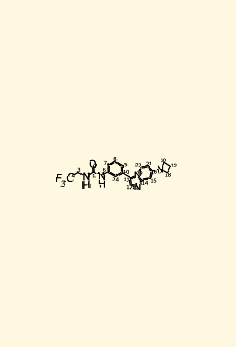 O=C(NCC(F)(F)F)Nc1cccc(-c2cnc3cc(N4CCC4)ccn23)c1